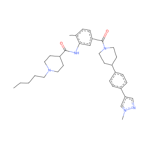 CCCCCN1CCC(C(=O)Nc2cc(C(=O)N3CCC(c4ccc(-c5cnn(C)c5)cc4)CC3)ccc2C)CC1